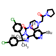 CCOc1cc(C(C)(C)C)ncc1C1=N[C@@](C)(c2ccc(Cl)cc2)[C@@](C)(c2ccc(Cl)cc2)N1C(=O)N1CCN(CC(=O)N2CCCC2)CC1